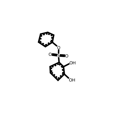 O=S(=O)(Oc1ccccc1)c1cccc(O)c1O